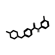 Cc1cccc(NC(=O)c2ccc(CN3CCN(C)CC3)cc2)c1